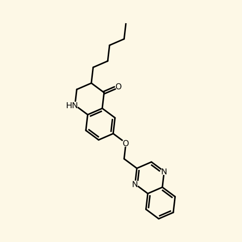 CCCCCC1CNc2ccc(OCc3cnc4ccccc4n3)cc2C1=O